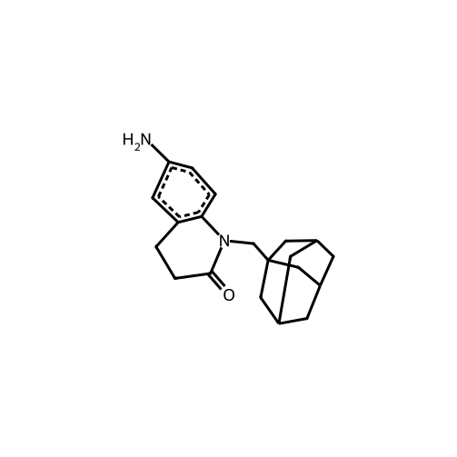 Nc1ccc2c(c1)CCC(=O)N2CC12CC3CC(CC(C3)C1)C2